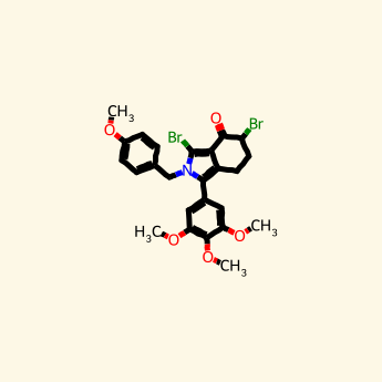 COc1ccc(Cn2c(Br)c3c(c2-c2cc(OC)c(OC)c(OC)c2)CCC(Br)C3=O)cc1